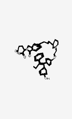 CCC(=C(c1ccc(O)cc1)c1ccc(OCCN2CCCC(CCCc3ccc4c(c3)CN(C3CCC(=O)NC3=O)C4=O)C2)cc1)c1ccccc1